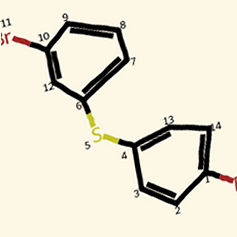 Brc1ccc(Sc2cccc(Br)c2)cc1